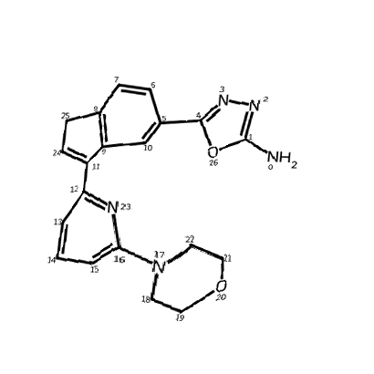 Nc1nnc(-c2ccc3c(c2)C(c2cccc(N4CCOCC4)n2)=CC3)o1